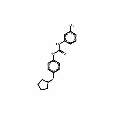 O=C(Nc1ccc(SN2CCCC2)cc1)Nc1cccc(C(F)(F)F)c1